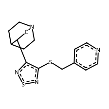 c1cc(CSc2nsnc2C2CN3CCC2CC3)ccn1